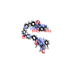 CCOc1cc(N2CCC(C(=O)N3CCC(CN4CCC(Cc5ccc(N(C(=N)c6cc(C(C)C)c(O)cc6O)C(N)=O)cc5)CC4)CC3)CC2)ccc1Nc1ncc(N(C)C=O)c(N(C)c2ccccc2C)n1